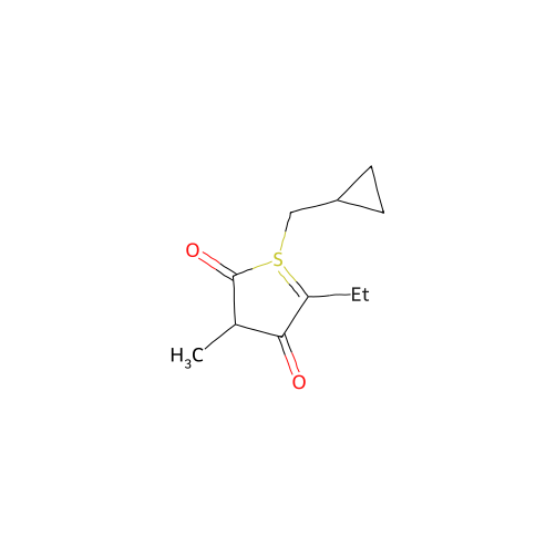 CCC1=S(CC2CC2)C(=O)C(C)C1=O